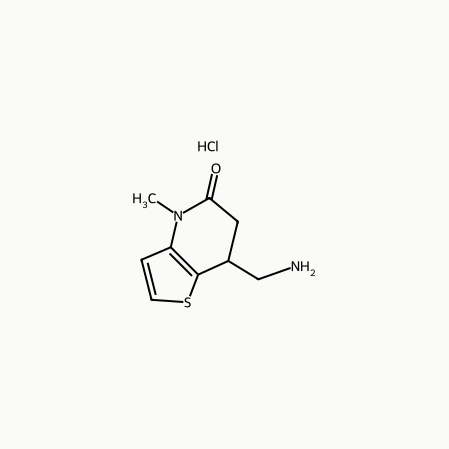 CN1C(=O)CC(CN)c2sccc21.Cl